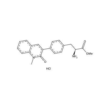 COC(=O)[C@@H](N)Cc1ccc(-c2cc3ccccc3n(C)c2=O)cc1.Cl